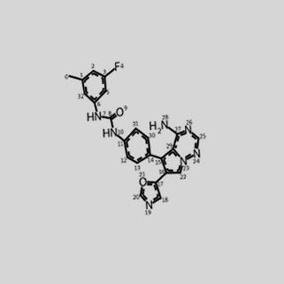 Cc1cc(F)cc(NC(=O)Nc2ccc(-c3c(-c4cnco4)cn4ncnc(N)c34)cc2)c1